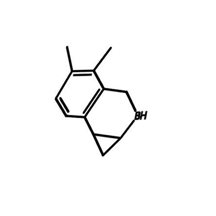 Cc1ccc2c(c1C)CBC1CC21